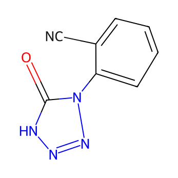 N#Cc1ccccc1-n1nn[nH]c1=O